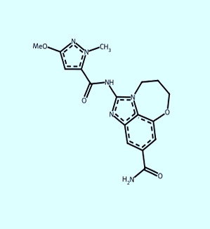 COc1cc(C(=O)Nc2nc3cc(C(N)=O)cc4c3n2CCCO4)n(C)n1